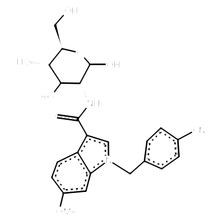 COc1ccc2c(C(=O)N[C@H]3C(O)O[C@H](CO)[C@@H](O)C3O)cn(Cc3ccc(C#N)cc3)c2c1